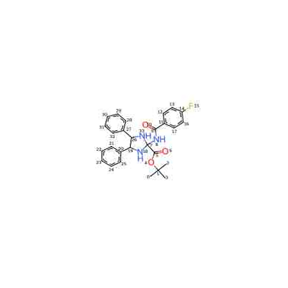 CC(C)(C)OC(=O)C1(NC(=O)c2ccc(F)cc2)NC(c2ccccc2)C(c2ccccc2)N1